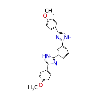 COc1ccc(-c2c[nH]c(-c3cccc(-c4nc(-c5ccc(OC)cc5)c[nH]4)c3)n2)cc1